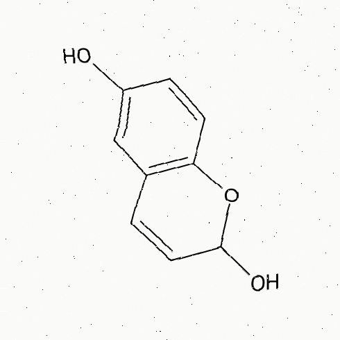 Oc1ccc2c(c1)C=CC(O)O2